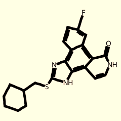 O=c1[nH]ccc2c3[nH]c(SCC4CCCCC4)nc3c3ccc(F)cc3c12